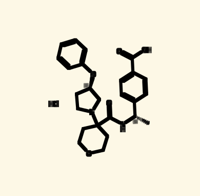 C[C@H](NC(=O)C1(N2CC[C@@H](Oc3ccccc3)C2)CCOCC1)c1ccc(C(=O)O)cc1.Cl